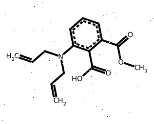 C=CCN(CC=C)c1cccc(C(=O)OC)c1C(=O)O